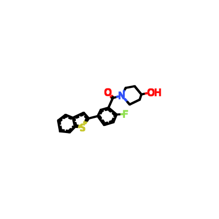 O=C(c1cc(-c2cc3ccccc3s2)ccc1F)N1CCC(O)CC1